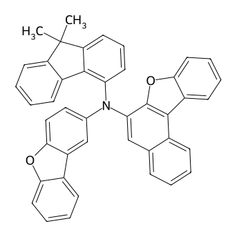 CC1(C)c2ccccc2-c2c(N(c3ccc4oc5ccccc5c4c3)c3cc4ccccc4c4c3oc3ccccc34)cccc21